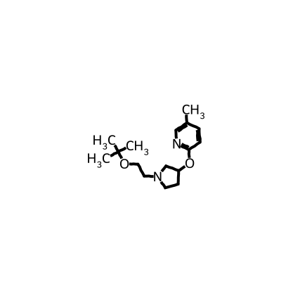 Cc1ccc(OC2CCN(CCOC(C)(C)C)C2)nc1